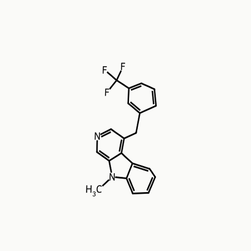 Cn1c2ccccc2c2c(Cc3cccc(C(F)(F)F)c3)cncc21